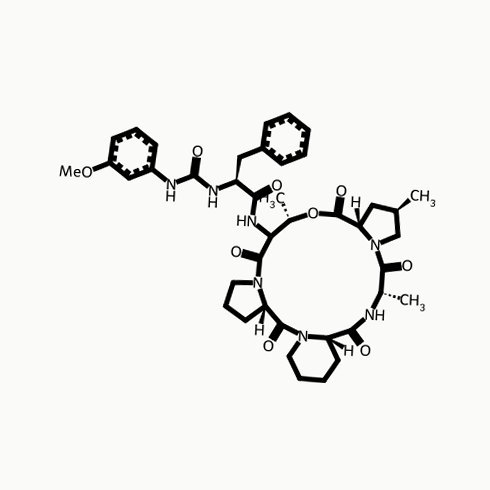 COc1cccc(NC(=O)N[C@@H](Cc2ccccc2)C(=O)NC2C(=O)N3CCC[C@H]3C(=O)N3CCCC[C@H]3C(=O)N[C@@H](C)C(=O)N3C[C@H](C)C[C@H]3C(=O)O[C@H]2C)c1